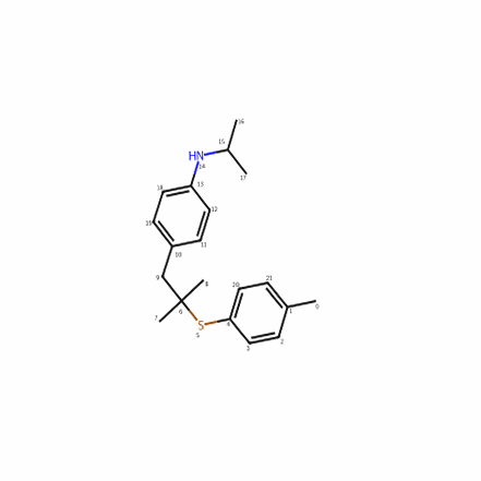 Cc1ccc(SC(C)(C)Cc2ccc(NC(C)C)cc2)cc1